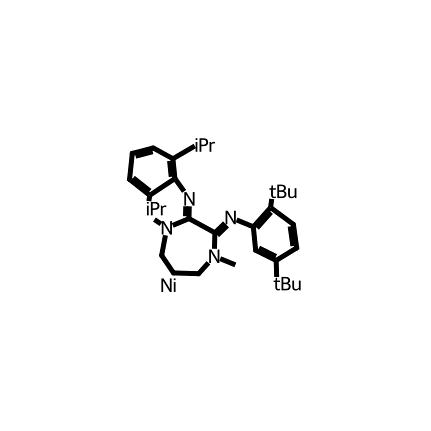 CC(C)c1cccc(C(C)C)c1N=C1C(=Nc2cc(C(C)(C)C)ccc2C(C)(C)C)N(C)CCCN1C.[Ni]